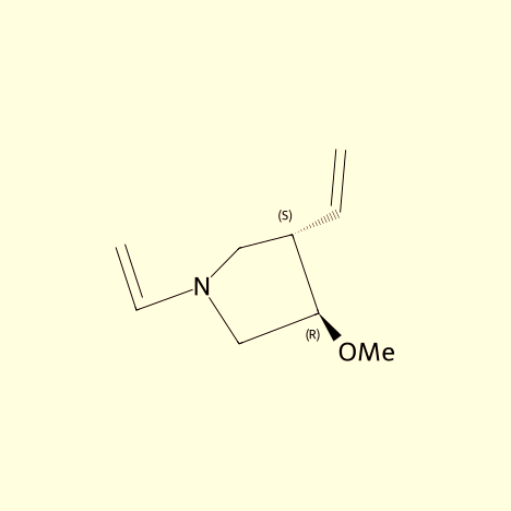 C=C[C@H]1CN(C=C)C[C@@H]1OC